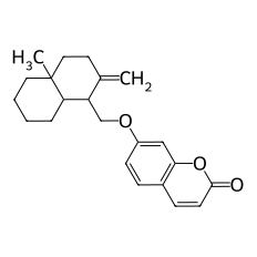 C=C1CCC2(C)CCCCC2C1COc1ccc2ccc(=O)oc2c1